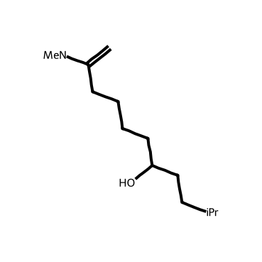 C=C(CCCCC(O)CCC(C)C)NC